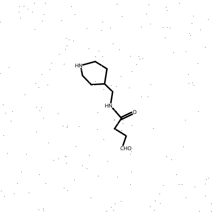 O=CCCC(=O)NCC1CCNCC1